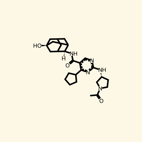 CC(=O)N1CC[C@@H](Nc2ncc(C(=O)N[C@H]3C4CC5CC3C[C@@](O)(C5)C4)c(C3CCCC3)n2)C1